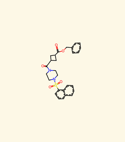 O=C(OCc1ccccc1)C1CC(C(=O)N2CCN(S(=O)(=O)c3cccc4ccccc34)CC2)C1